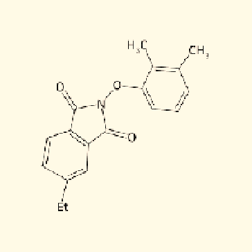 CCc1ccc2c(c1)C(=O)N(Oc1cccc(C)c1C)C2=O